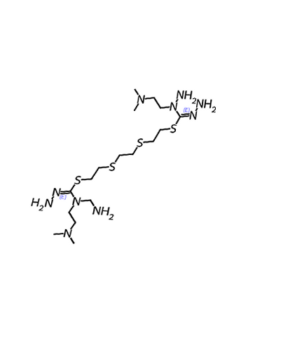 CN(C)CCN(N)/C(=N\N)SCCSCCSCCS/C(=N/N)N(CN)CCN(C)C